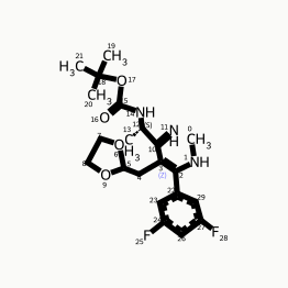 CN/C(=C(/CC1OCCO1)C(=N)[C@H](C)NC(=O)OC(C)(C)C)c1cc(F)cc(F)c1